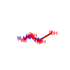 N[C@@H](CCCCNC(=O)CC[C@H](NC(=O)COCCOCCNC(=O)CC[C@H](NC(=O)CCCCCCCCCCCCCCCCCCC(=O)O)C(=O)O)C(=O)O)C(=O)O